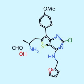 COc1ccc(-c2c(C[C@H](C)N)sc3c(NCc4ccco4)nc(Cl)nc23)cc1.O=CO